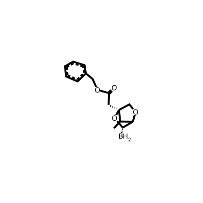 B[C@@H]1O[C@@]2(CC(=O)OCc3ccccc3)COC1C2C